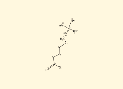 CCCCCC(=O)[O-].CCC[N+](CCC)(CCC)CCC